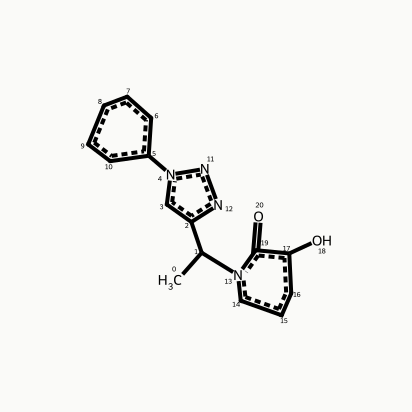 CC(c1cn(-c2ccccc2)nn1)n1cccc(O)c1=O